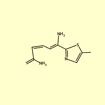 C=C(N)/C=C\C=C(/N)c1ncc(C)s1